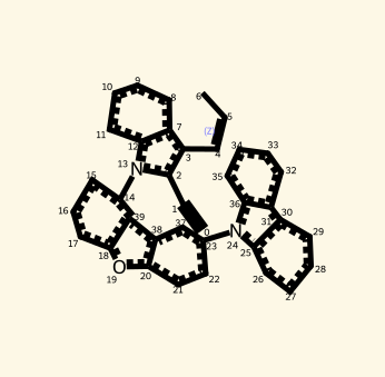 C#Cc1c(/C=C\C)c2ccccc2n1-c1cccc2oc3ccc(-n4c5ccccc5c5ccccc54)cc3c12